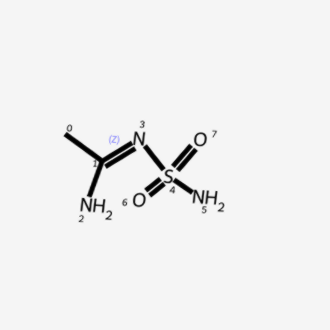 C/C(N)=N/S(N)(=O)=O